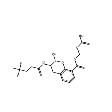 CC(F)(F)CCC(=O)NC1Cc2cccc(C(=O)OCOC(=O)C(C)(C)C)c2OB1O